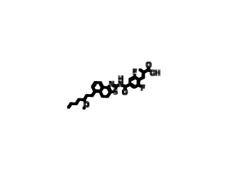 CCCCC(CCc1cccc2c1CCc1sc(NC(=O)c3cc(F)c(/C=C(\C)C(=O)O)c(F)c3)nc1-2)OC